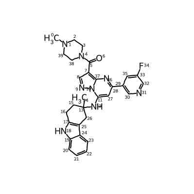 CN1CCN(C(=O)c2cnn3c(NC4(C)CCc5[nH]c6ccccc6c5C4)cc(-c4cncc(F)c4)nc23)CC1